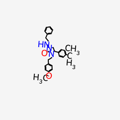 COc1ccc(CCN2C(=O)N(NCCc3ccccc3)CC2c2ccc(C)c(C)c2)cc1